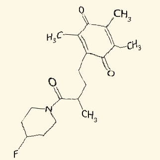 CC1=C(C)C(=O)C(CCC(C)C(=O)N2CCC(F)CC2)=C(C)C1=O